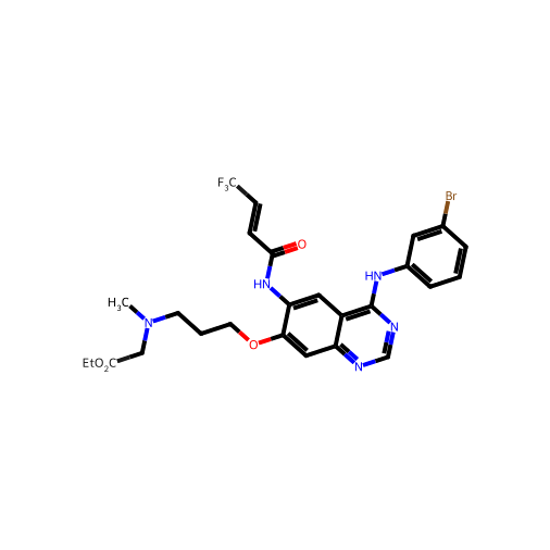 CCOC(=O)CN(C)CCCOc1cc2ncnc(Nc3cccc(Br)c3)c2cc1NC(=O)C=CC(F)(F)F